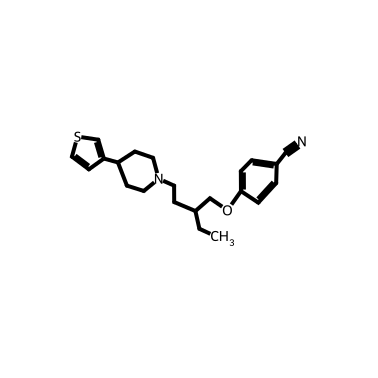 CCC(CCN1CCC(c2ccsc2)CC1)COc1ccc(C#N)cc1